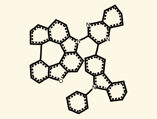 c1ccc(-n2c3ccccc3c3cc(-c4nc5ccccc5nc4-n4c5ccc6cccc7c6c5c5c6c(ccc54)oc4cccc-7c46)ccc32)cc1